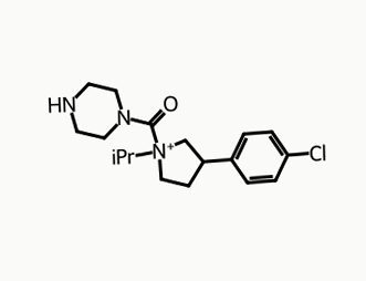 CC(C)[N+]1(C(=O)N2CCNCC2)CCC(c2ccc(Cl)cc2)C1